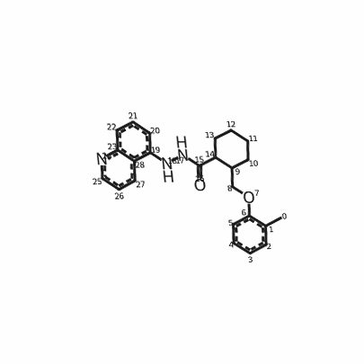 Cc1ccccc1OCC1CCCCC1C(=O)NNc1cccc2ncccc12